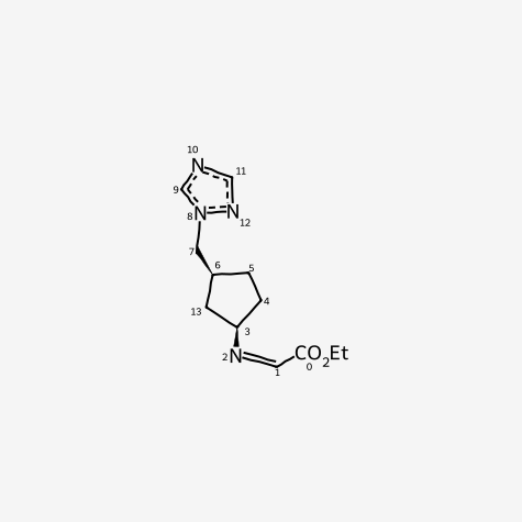 CCOC(=O)/C=N\[C@@H]1CC[C@H](Cn2cncn2)C1